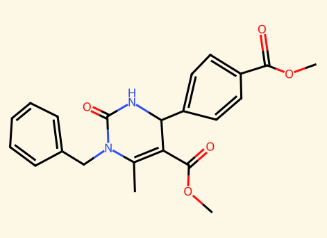 COC(=O)C1=C(C)N(Cc2ccccc2)C(=O)NC1c1ccc(C(=O)OC)cc1